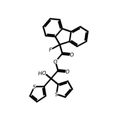 O=C(OC(=O)C1(F)c2ccccc2-c2ccccc21)C(O)(c1cccs1)c1cccs1